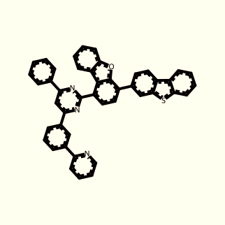 c1ccc(-c2cc(-c3cccc(-c4ccccn4)c3)nc(-c3ccc(-c4ccc5c(c4)sc4ccccc45)c4oc5ccccc5c34)n2)cc1